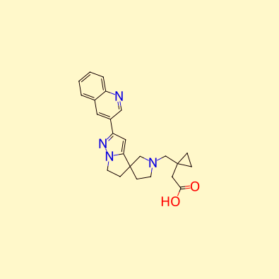 O=C(O)CC1(CN2CCC3(CCn4nc(-c5cnc6ccccc6c5)cc43)C2)CC1